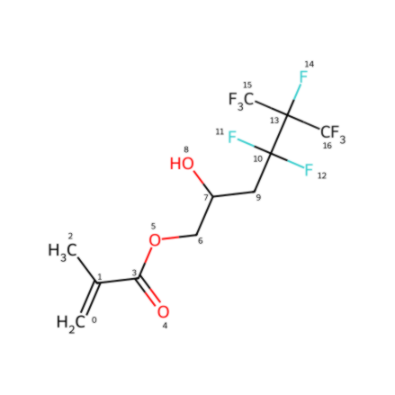 C=C(C)C(=O)OCC(O)CC(F)(F)C(F)(C(F)(F)F)C(F)(F)F